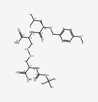 COc1ccc(CO[C@H](CC(C)C)C(=O)NC(CSSCC(NC(=O)OC(C)(C)C)C(=O)O)C(=O)O)cc1